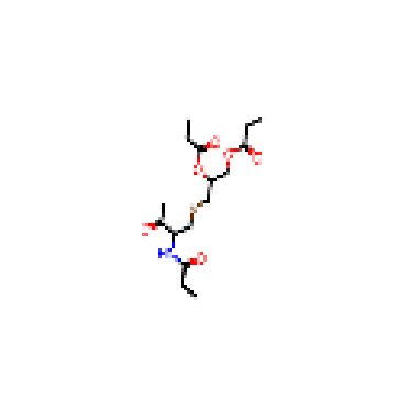 CCC(=O)NC(CSCC(COC(=O)CC)OC(=O)CC)C(C)=O